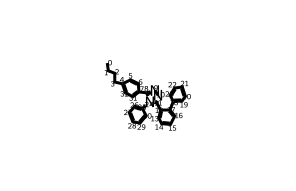 CCCCc1ccc(-c2nnc(-c3ccccc3-c3ccccc3)n2-c2ccccc2)cc1